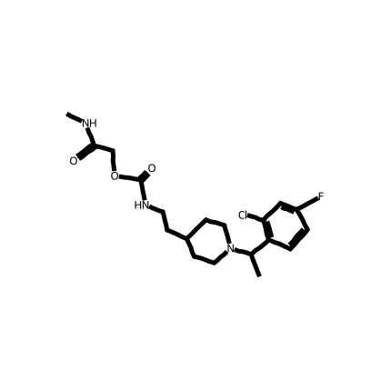 CNC(=O)COC(=O)NCCC1CCN(C(C)c2ccc(F)cc2Cl)CC1